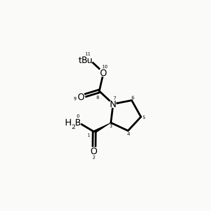 BC(=O)[C@@H]1CCCN1C(=O)OC(C)(C)C